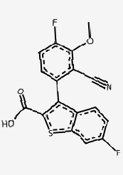 COc1c(F)ccc(-c2c(C(=O)O)sc3cc(F)ccc23)c1C#N